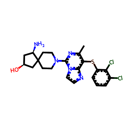 Cc1nc(N2CCC3(CC2)C[C@@H](O)C[C@H]3N)n2ccnc2c1Sc1cccc(Cl)c1Cl